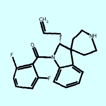 C=CC[C@H]1N(C(=O)c2c(F)cccc2F)c2ccccc2C12CCNCC2